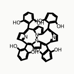 Oc1cccc(O)c1-c1c2nc(c(-c3c(O)cccc3O)c3ccc4c(-c5c(O)cccc5O)c5nc(c(-c6c(O)cccc6O)c6ccc1n6n34)C=C5)C=C2